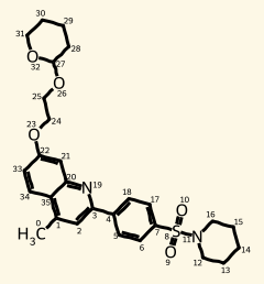 Cc1cc(-c2ccc(S(=O)(=O)N3CCCCC3)cc2)nc2cc(OCCOC3CCCCO3)ccc12